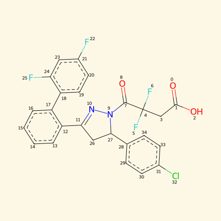 O=C(O)CC(F)(F)C(=O)N1N=C(c2ccccc2-c2ccc(F)cc2F)CC1c1ccc(Cl)cc1